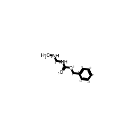 CNCNC(=O)OCc1ccccc1